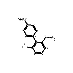 COc1ccc(-c2c(O)cccc2CC(C)=O)cc1